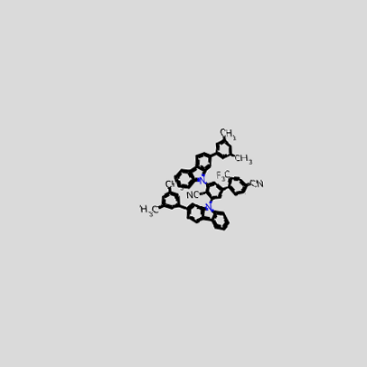 Cc1cc(C)cc(-c2ccc3c4ccccc4n(-c4cc(-c5ccc(C#N)cc5C(F)(F)F)cc(-n5c6ccccc6c6ccc(-c7cc(C)cc(C)c7)cc65)c4C#N)c3c2)c1